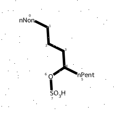 CCCCCCCCCCCCC(CCCCC)OS(=O)(=O)O